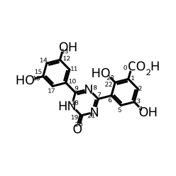 O=C(O)c1cc(O)cc(-c2nc(-c3cc(O)cc(O)c3)[nH]c(=O)n2)c1O